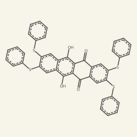 O=C1c2cc(Sc3ccccc3)c(Sc3ccccc3)cc2C(=O)c2c1c(O)c1cc(Sc3ccccc3)c(Sc3ccccc3)cc1c2O